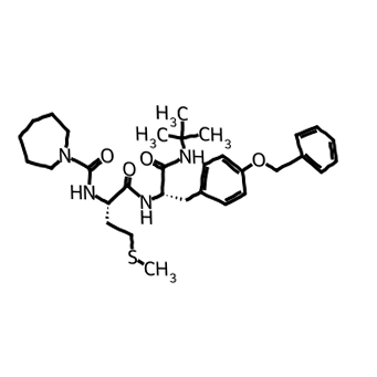 CSCC[C@H](NC(=O)N1CCCCCC1)C(=O)N[C@@H](Cc1ccc(OCc2ccccc2)cc1)C(=O)NC(C)(C)C